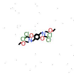 CCOCCN(Cc1ccc(CN(CCOCC)C(=O)C(Cl)Cl)cc1)C(=O)C(Cl)Cl